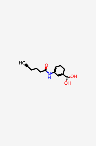 C#CCCCC(=O)NC1=CCCC(B(O)O)=C1